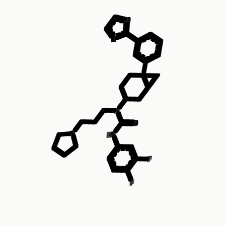 O=C(Nc1ccc(F)c(F)c1)N(CCCN1CCCC1)C1CCC2(c3cccc(-c4ncco4)c3)CC2C1